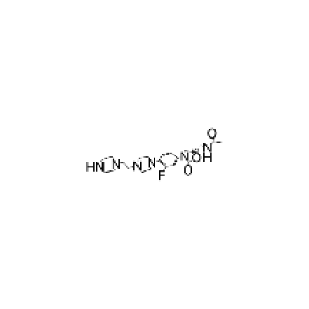 CC(=O)NC[C@H]1CN(c2ccc(N3CCN(CCN4CCNCC4)CC3)c(F)c2)C(=O)O1